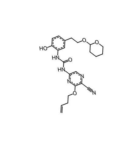 C=CCCOc1nc(NC(=O)Nc2cc(CCOC3CCCCO3)ccc2O)cnc1C#N